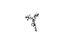 CC(=O)O[C@H](Cc1cc(O[Si](C)(C)C(C)(C)C)ccc1OCc1ccnc(OCCC(F)(F)F)n1)C(=O)O